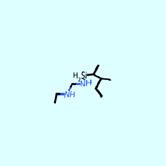 CCNCN[SiH2]C(C)C(C)CC